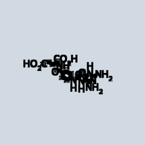 Nc1nc(N)c(NC(=O)Nc2ccc(C(=O)N[C@@H](CCC(=O)O)C(=O)O)cc2)c(=O)[nH]1